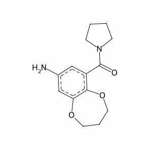 Nc1cc2c(c(C(=O)N3CCCC3)c1)OCCCO2